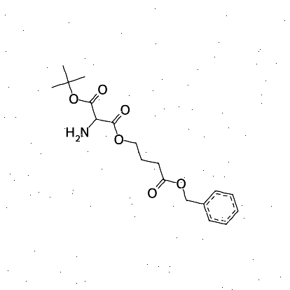 CC(C)(C)OC(=O)C(N)C(=O)OCCCC(=O)OCc1ccccc1